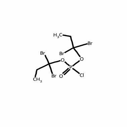 CCC(Br)(Br)OP(=O)(Cl)OC(Br)(Br)CC